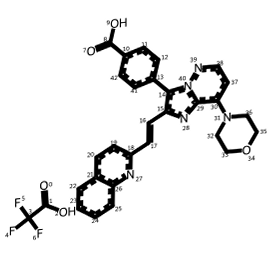 O=C(O)C(F)(F)F.O=C(O)c1ccc(-c2c(/C=C/c3ccc4ccccc4n3)nc3c(N4CCOCC4)ccnn23)cc1